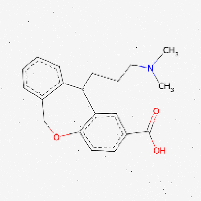 CN(C)CCCC1c2ccccc2COc2ccc(C(=O)O)cc21